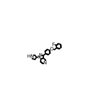 Fc1ccccc1COc1ccc(-c2nn(C3CCNC3)c3ccncc23)cc1